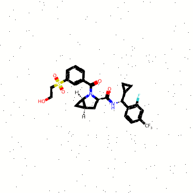 O=C(N[C@@H](c1ccc(C(F)(F)F)cc1F)C1CC1)[C@H]1C[C@H]2C[C@H]2N1C(=O)c1cccc(S(=O)(=O)CCO)c1